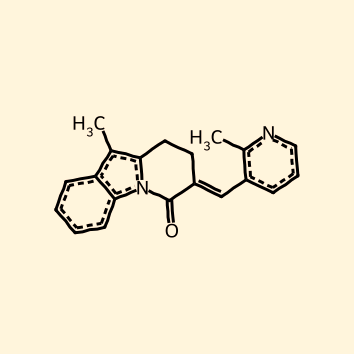 Cc1ncccc1/C=C1\CCc2c(C)c3ccccc3n2C1=O